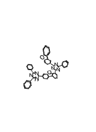 c1ccc(-c2nc(-c3ccccc3)nc(-c3ccc4c(c3)oc3c(-c5nc(-c6ccccc6)nc(-c6ccc7oc8ccccc8c7c6)n5)cccc34)n2)cc1